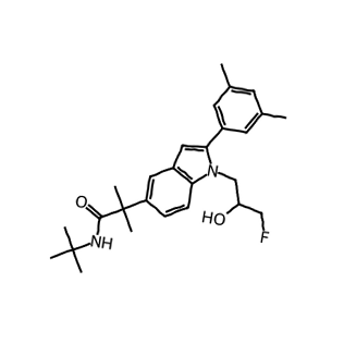 Cc1cc(C)cc(-c2cc3cc(C(C)(C)C(=O)NC(C)(C)C)ccc3n2CC(O)CF)c1